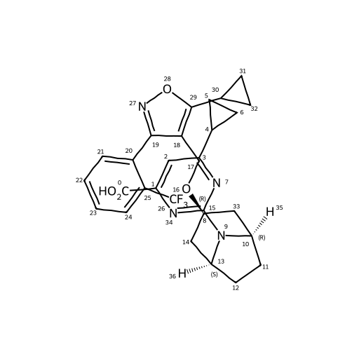 O=C(O)c1cc(C2CC2)nc(N2[C@@H]3CC[C@H]2C[C@@H](OCc2c(-c4ccccc4C(F)(F)F)noc2C2CC2)C3)n1